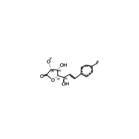 CO[C@H]1C(=O)O[C@@H]([C@H](O)C=Cc2ccc(F)cc2)[C@H]1O